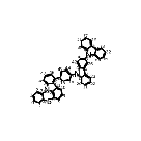 c1ccc2c(c1)Sc1cccc3c4c(-c5ccc(-n6c7ccccc7c7cc(-n8c9ccccc9c9ccccc98)ccc76)cc5)cccc4n-2c13